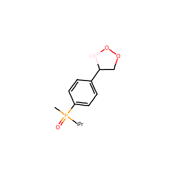 CC(C)P(C)(=O)c1ccc(C2BOOC2)cc1